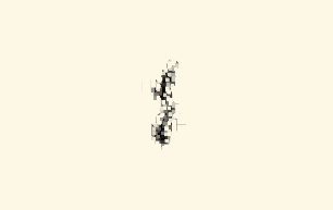 COCCn1cc(Nc2ncc(-c3ccc(CC(=O)Nc4cnc(C)c(C(F)(F)F)c4)c(F)c3)cn2)cn1